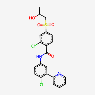 CC(O)CS(=O)(=O)c1ccc(C(=O)Nc2ccc(Cl)c(-c3ccccn3)c2)c(Cl)c1